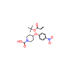 C=CC(=O)OC(C)(C)C.O=C(O)N1CCC(Oc2ccc([N+](=O)[O-])cc2)CC1